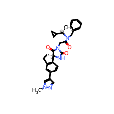 C[C@@H](C1CC1)N(Cc1ccccc1)C(=O)CN1C(=O)N[C@]2(CCc3cc(-c4cnn(C)c4)ccc32)C1=O